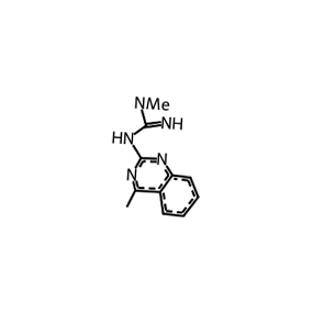 CNC(=N)Nc1nc(C)c2ccccc2n1